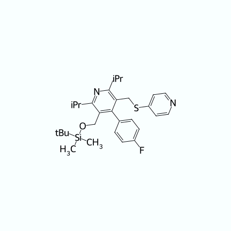 CC(C)c1nc(C(C)C)c(CSc2ccncc2)c(-c2ccc(F)cc2)c1CO[Si](C)(C)C(C)(C)C